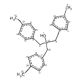 Cc1ccc(C[Si](O)(Cc2ccc(C)cc2)Cc2ccc(C)cc2)cc1